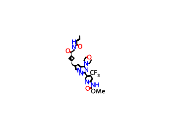 C/C=C/C(=O)NCC(=O)[C@]12C[C@@](Cc3cc4c(N5CCOCC5)nc(-c5cnc(NC(=O)OC)cc5C(F)(F)F)nn4c3)(C1)C2